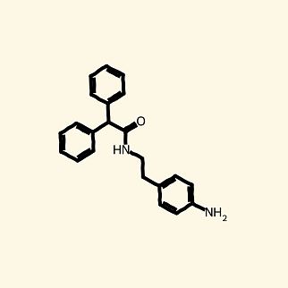 Nc1ccc(CCNC(=O)C(c2ccccc2)c2ccccc2)cc1